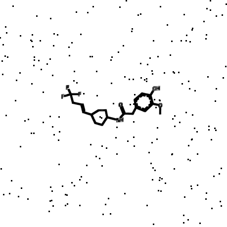 COc1cc(CC(=O)NC2CCC(C=CCC(F)(F)F)CC2)ccc1O